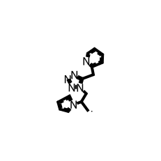 [CH2]C(Cn1nnnc1Cc1ccccn1)n1cccc1